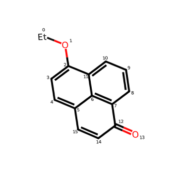 CCOc1ccc2c3c(cccc13)C(=O)C=C2